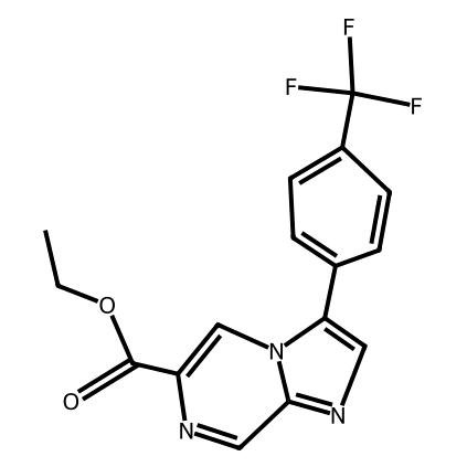 CCOC(=O)c1cn2c(-c3ccc(C(F)(F)F)cc3)cnc2cn1